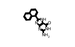 Nc1nc2nc(-c3cccc4ccccc34)[nH]c2c(=O)[nH]1